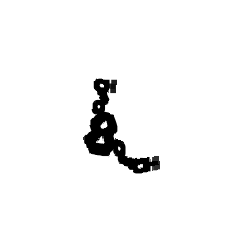 C#CCOc1ccc2c(OCC#C)cccc2c1